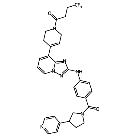 O=C(CCC(F)(F)F)N1CC=C(c2cccn3nc(Nc4ccc(C(=O)N5CCC(c6ccncc6)C5)cc4)nc23)CC1